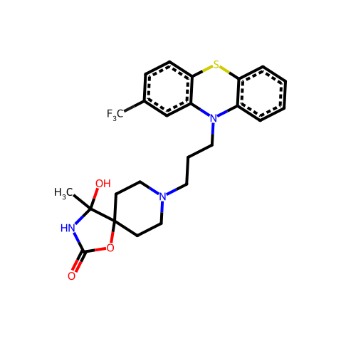 CC1(O)NC(=O)OC12CCN(CCCN1c3ccccc3Sc3ccc(C(F)(F)F)cc31)CC2